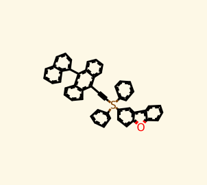 C(#CS(c1ccccc1)(c1ccccc1)c1ccc2oc3ccccc3c2c1)c1c2ccccc2c(-c2cccc3ccccc23)c2ccccc12